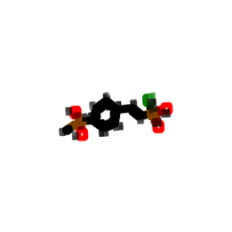 CS(=O)(=O)c1ccc(C=CS(=O)(=O)Cl)cc1